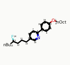 CCCCCCCCOc1ccc(-c2ccc(CCCC(F)CCCC)cn2)cc1